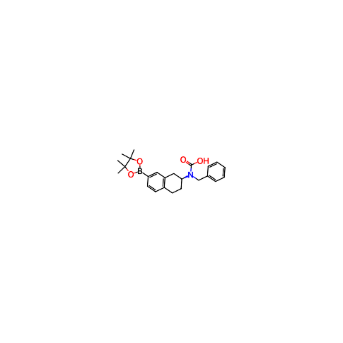 CC1(C)OB(c2ccc3c(c2)C[C@@H](N(Cc2ccccc2)C(=O)O)CC3)OC1(C)C